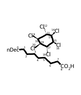 CCCCCCCCCCCCCCCCCC(=O)O.Cl[C@H]1[C@H](Cl)[C@@H](Cl)[C@@H](Cl)[C@H](Cl)[C@H]1Cl